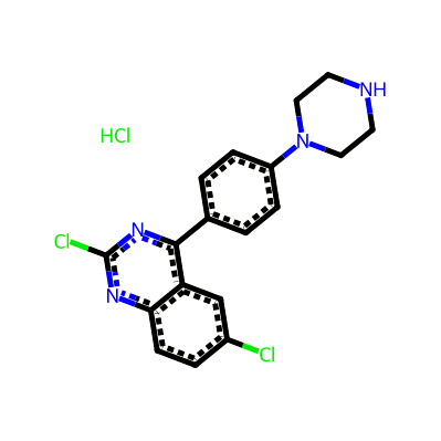 Cl.Clc1ccc2nc(Cl)nc(-c3ccc(N4CCNCC4)cc3)c2c1